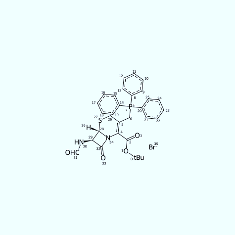 CC(C)(C)OC(=O)C1=C(C[P+](c2ccccc2)(c2ccccc2)c2ccccc2)CS[C@H]2[C@H](NC=O)C(=O)N12.[Br-]